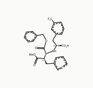 COC(=O)[C@H](Cc1ccccc1)N(N[C@@H](Cc1cccc(C(F)(F)F)c1)C(=O)O)C(=O)OCc1ccccc1